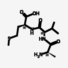 CSCC[C@H](NC(=O)[C@@H](NC(=O)[C@H](C)N)C(C)C)C(=O)O